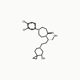 O=C1CCN(c2ccc(Cl)c(Cl)c2)CCN1[C@H](CO)CCN1CCC2(CC2)C(O)C1